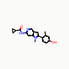 Cc1cc(O)ccc1-c1cc2cnc(NC(=O)C3CC3)cc2n1C